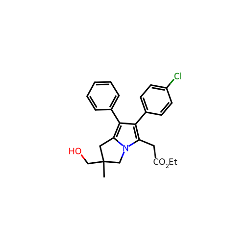 CCOC(=O)Cc1c(-c2ccc(Cl)cc2)c(-c2ccccc2)c2n1CC(C)(CO)C2